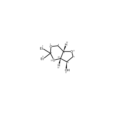 CCC1(CC)OC[C@@H]2OC[C@@H](O)[C@@H]2O1